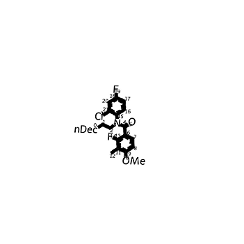 CCCCCCCCCCCCN(C(=O)c1ccc(OC)c(C)c1F)c1ccc(F)cc1Cl